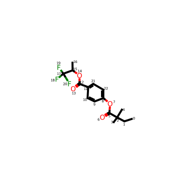 CCC(C)(C)C(=O)Oc1ccc(C(=O)OC(C)C(F)(F)F)cc1